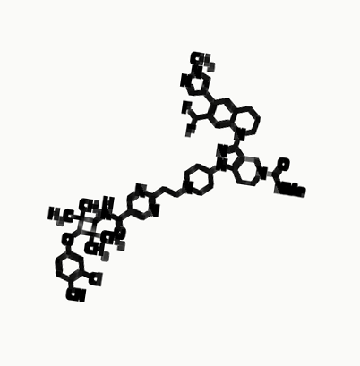 CNC(=O)N1CCc2c(c(N3CCCc4cc(-c5cnn(C)c5)c(C(F)F)cc43)nn2C2CCN(CCc3ncc(C(=O)NC4C(C)(C)C(Oc5ccc(C#N)c(Cl)c5)C4(C)C)cn3)CC2)C1